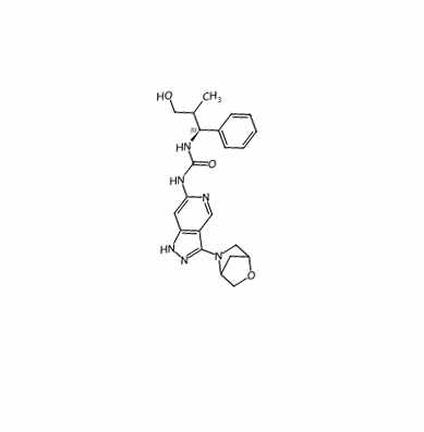 CC(CO)[C@H](NC(=O)Nc1cc2[nH]nc(N3CC4CC3CO4)c2cn1)c1ccccc1